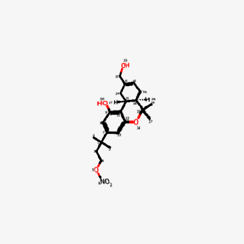 CC(C)(CCO[N+](=O)[O-])c1cc(O)c2c(c1)OC(C)(C)[C@@H]1CC=C(CO)C[C@@H]21